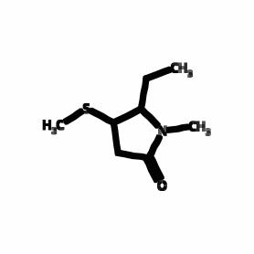 CCC1C(SC)CC(=O)N1C